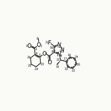 COC(=O)C1=C(OC(=O)c2c(F)nnn2[C@H](C)c2ccccc2)CCCC1